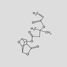 C=CC(=O)OC(C)(C)CC(=O)OC1C2CC3C(=O)OC1C3O2